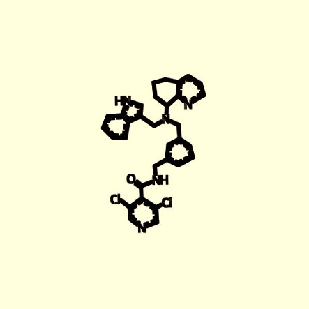 O=C(NCc1cccc(CN(Cc2c[nH]c3ccccc23)C2CCCc3cccnc32)c1)c1c(Cl)cncc1Cl